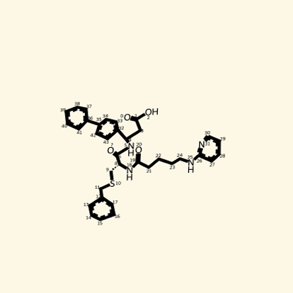 O=C(O)CC(NC(=O)[C@@H](CSCc1ccccc1)NC(=O)CCCCNc1ccccn1)c1ccc(-c2ccccc2)cc1